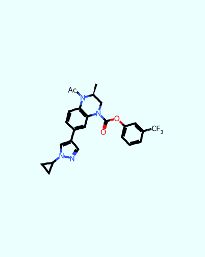 CC(=O)N1c2ccc(-c3cnn(C4CC4)c3)cc2N(C(=O)Oc2cccc(C(F)(F)F)c2)C[C@@H]1C